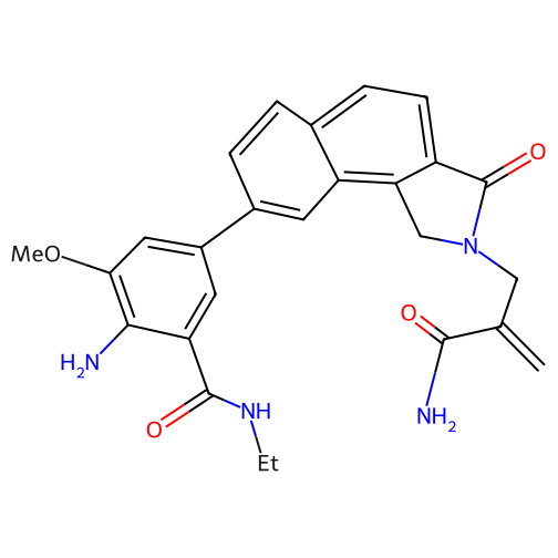 C=C(CN1Cc2c(ccc3ccc(-c4cc(OC)c(N)c(C(=O)NCC)c4)cc23)C1=O)C(N)=O